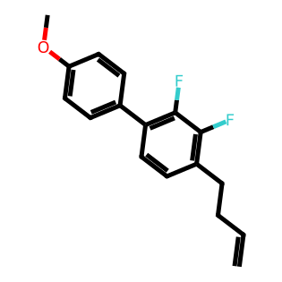 C=CCCc1ccc(-c2ccc(OC)cc2)c(F)c1F